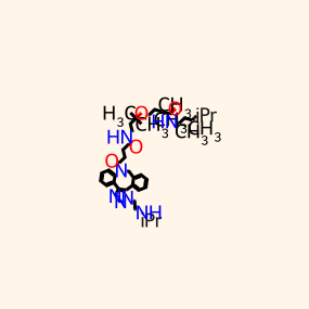 CC(C)NCCn1nnc2c1-c1ccccc1CN(C(=O)CCC(=O)NCCC(C)(C)OCCC(C)(C)C(=O)NC(C)CC(C)C(C)C)c1ccccc1-2